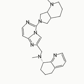 CN1CCCC2CN(c3nccc4nc(CN(C)[C@H]5CCCc6cccnc65)cn34)CC21